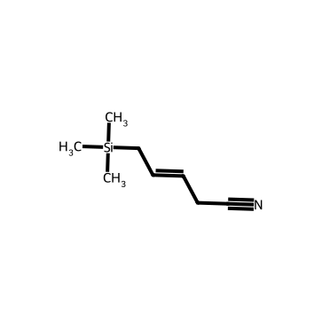 C[Si](C)(C)CC=CCC#N